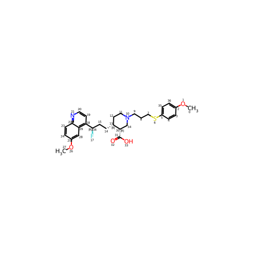 COc1ccc(SCCCN2CC[C@@H](CC[C@@H](F)c3ccnc4ccc(OC)cc34)[C@@H](C(=O)O)C2)cc1